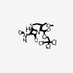 COCC1=C(C(=O)OCC(Cl)(Cl)Cl)N2C(=O)[C@@H](NC=O)[C@H]2SC1